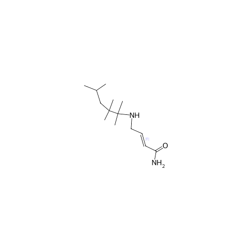 CC(C)CC(C)(C)C(C)(C)NC/C=C/C(N)=O